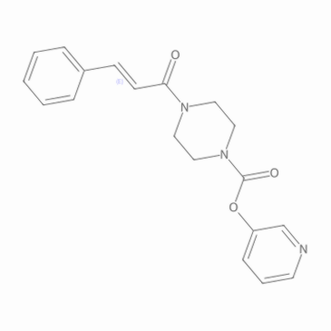 O=C(/C=C/c1ccccc1)N1CCN(C(=O)Oc2cccnc2)CC1